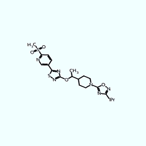 CC(C)c1noc(N2CCC(C(C)Oc3nsc(-c4ccc(S(C)(=O)=O)nc4)n3)CC2)n1